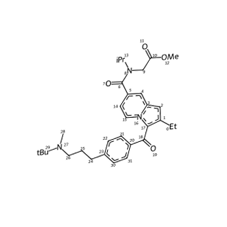 CCc1cc2cc(C(=O)N(CC(=O)OC)C(C)C)ccn2c1C(=O)c1ccc(CCCN(C)C(C)(C)C)cc1